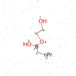 CCCCB(O)OCCO